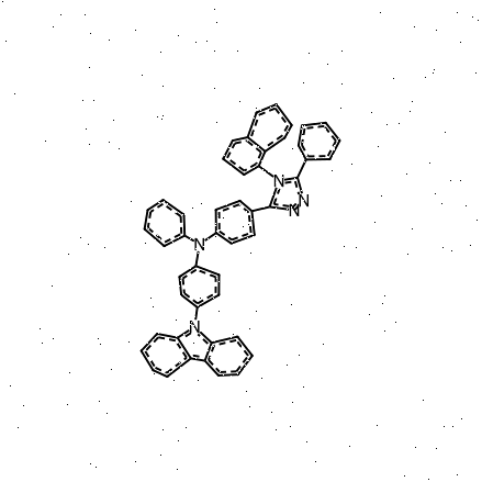 c1ccc(-c2nnc(-c3ccc(N(c4ccccc4)c4ccc(-n5c6ccccc6c6ccccc65)cc4)cc3)n2-c2cccc3ccccc23)cc1